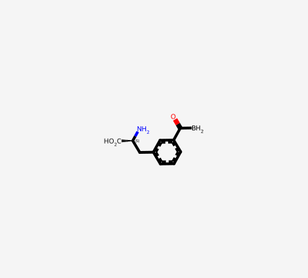 BC(=O)c1cccc(C[C@H](N)C(=O)O)c1